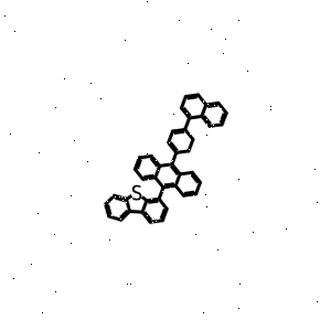 C1=C(c2cccc3ccccc23)CCC(c2c3ccccc3c(-c3cccc4c3sc3ccccc34)c3ccccc23)=C1